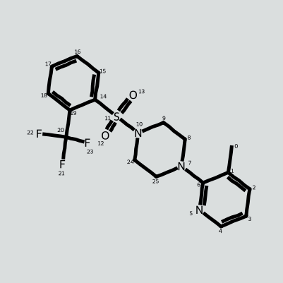 Cc1cccnc1N1CCN(S(=O)(=O)c2ccccc2C(F)(F)F)CC1